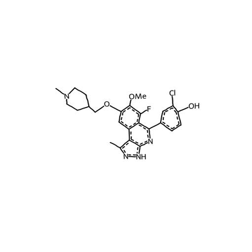 COc1c(OCC2CCN(C)CC2)cc2c(c(-c3ccc(O)c(Cl)c3)nc3[nH]nc(C)c32)c1F